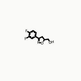 OCC1CC(c2ccc(F)c(F)c2)=NO1